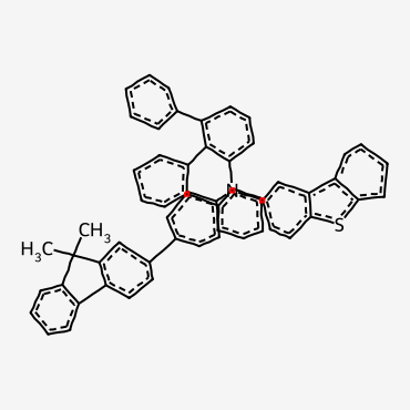 CC1(C)c2ccccc2-c2ccc(-c3ccc(N(c4ccc5sc6ccccc6c5c4)c4cccc(-c5ccccc5)c4-c4ccccc4-c4ccccc4)cc3)cc21